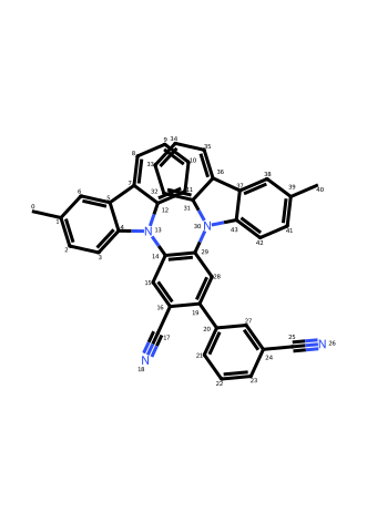 Cc1ccc2c(c1)c1ccccc1n2-c1cc(C#N)c(-c2cccc(C#N)c2)cc1-n1c2ccccc2c2cc(C)ccc21